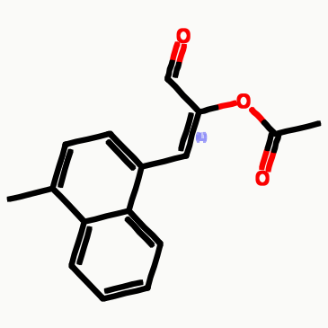 CC(=O)O/C(C=O)=C/c1ccc(C)c2ccccc12